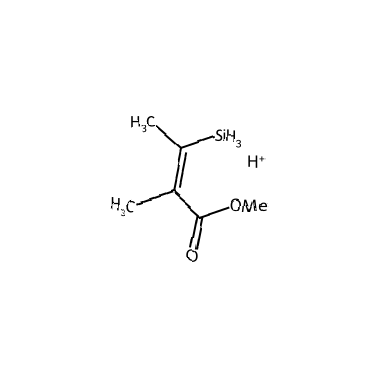 COC(=O)C(C)=C(C)[SiH3].[H+]